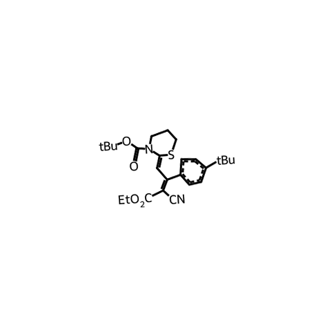 CCOC(=O)/C(C#N)=C(\C=C1/SCCCN1C(=O)OC(C)(C)C)c1ccc(C(C)(C)C)cc1